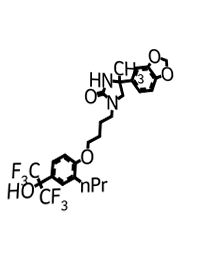 CCCc1cc(C(O)(C(F)(F)F)C(F)(F)F)ccc1OCCCCN1CC(C)(c2ccc3c(c2)OCO3)NC1=O